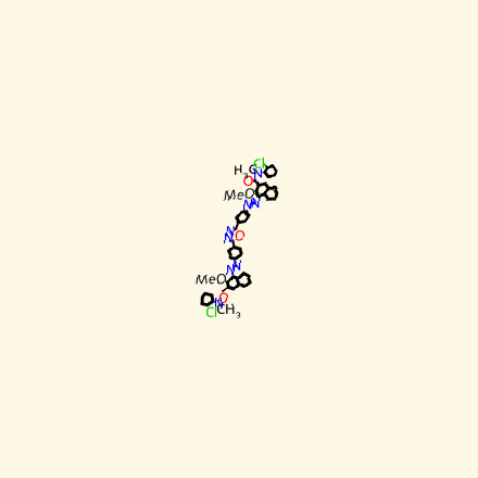 COc1c(CON(C)c2ccccc2Cl)cc2ccccc2c1N=Nc1ccc(-c2nnc(-c3ccc(N=Nc4c(OC)c(C(=O)N(C)c5ccccc5Cl)cc5ccccc45)cc3)o2)cc1